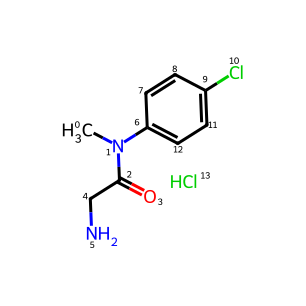 CN(C(=O)CN)c1ccc(Cl)cc1.Cl